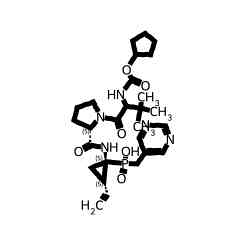 C=C[C@@H]1C[C@]1(NC(=O)[C@@H]1CCCN1C(=O)C(NC(=O)OC1CCCC1)C(C)(C)C)P(=O)(O)Cc1cncnc1